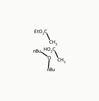 CC(=O)O.CCCCOCCCC.CCOC(C)=O